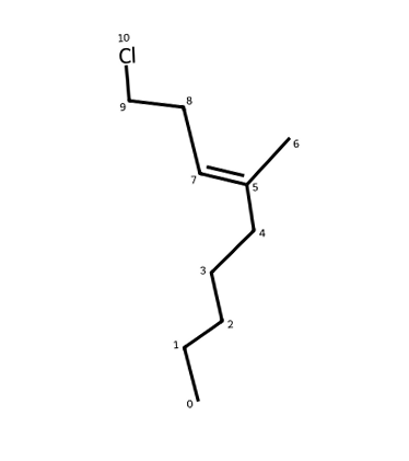 CCCCCC(C)=CCCCl